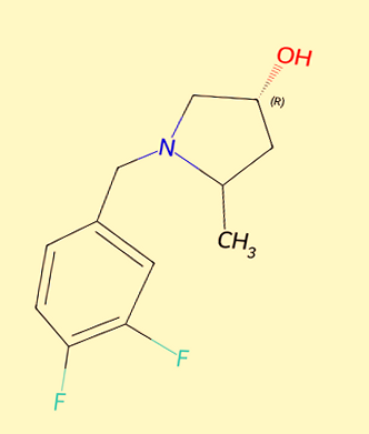 CC1C[C@@H](O)CN1Cc1ccc(F)c(F)c1